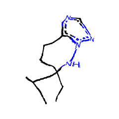 CCC1(C(C)C)CCc2ncnn2N1